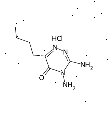 CCCCc1nnc(N)n(N)c1=O.Cl